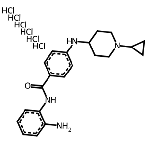 Cl.Cl.Cl.Cl.Cl.Cl.Nc1ccccc1NC(=O)c1ccc(NC2CCN(C3CC3)CC2)cc1